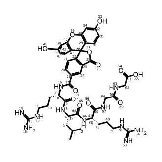 CC(C)C[C@H](NC(=O)[C@H](CCCNC(=N)N)NC(=O)c1ccc2c(c1)C(=O)OC21c2ccc(O)cc2Oc2cc(O)ccc21)C(=O)N[C@@H](CCCNC(=N)N)C(=O)NCC(=O)NCC(=O)O